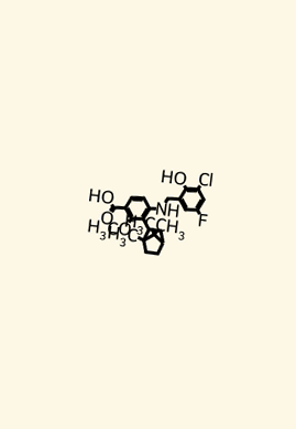 COc1c(C(=O)O)ccc(NCc2cc(F)cc(Cl)c2O)c1C1CC2CCC1(C)C2(C)C